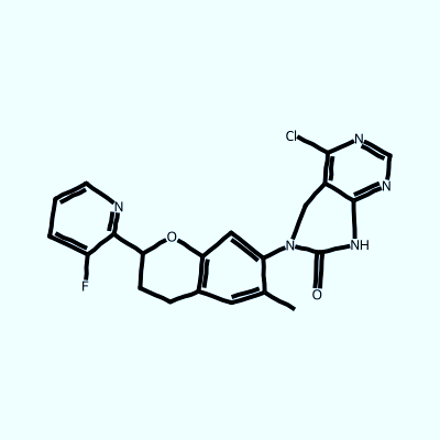 Cc1cc2c(cc1N1Cc3c(Cl)ncnc3NC1=O)OC(c1ncccc1F)CC2